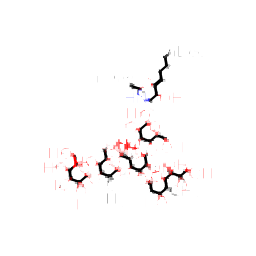 CCCCCCCCCCCCC/C=C/[C@@H](O)[C@H](CO[C@@H]1OC(CO)[C@@H](O[C@@H]2OC(CO)[C@H](O[C@@H]3OC(CO)[C@H](O)[C@H](O[C@@H]4OC(CO)[C@H](O)[C@H](O)C4O)C3C)[C@H](OC3C[C@@H](O)[C@@H](C)C([C@H](O)[C@H](O)CO)O3)C2O)[C@H](O)C1O)NC(=O)CCCCCCCCCCC